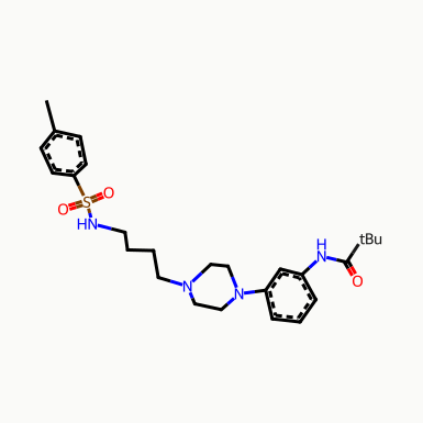 Cc1ccc(S(=O)(=O)NCCCCN2CCN(c3cccc(NC(=O)C(C)(C)C)c3)CC2)cc1